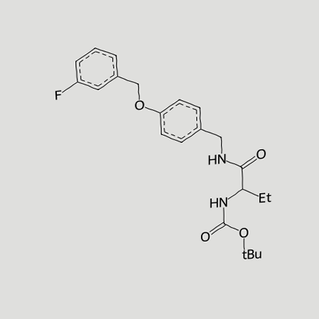 CCC(NC(=O)OC(C)(C)C)C(=O)NCc1ccc(OCc2cccc(F)c2)cc1